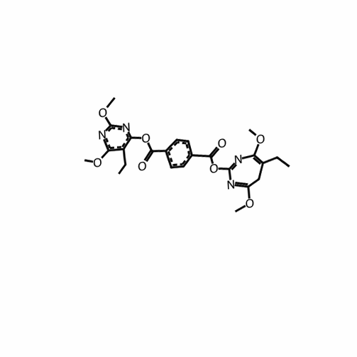 CCC1=C(OC)N=C(OC(=O)c2ccc(C(=O)Oc3nc(OC)nc(OC)c3CC)cc2)N=C(OC)C1